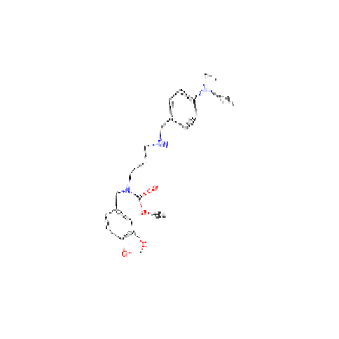 CN(C)c1ccc(CNCCCN(Cc2ccc3c(c2)OCO3)C(=O)OC(C)(C)C)cc1